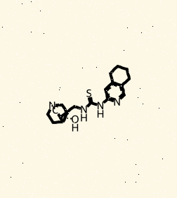 O[C@@]1(CNC(=S)Nc2cc3c(cn2)CCCC3)CN2CCC1CC2